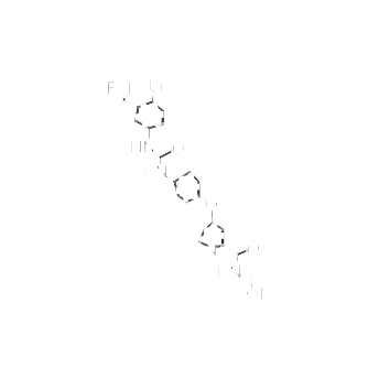 O=C(Nc1ccc(Oc2ccnc(C(=O)NCO)c2)cc1)Nc1ccc(Br)c(C(F)(F)F)c1